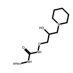 CCCCCCNC(=O)NOCC(O)CN1CCCCC1